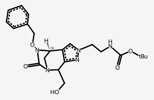 CC(C)(C)OC(=O)NCCn1cc2c(n1)C(CO)N1C[C@H]2N(OCc2ccccc2)C1=O